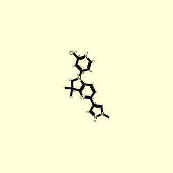 Cn1cc(-c2ccc3c(n2)C(C)(C)CN3c2ccnc(Cl)c2)cn1